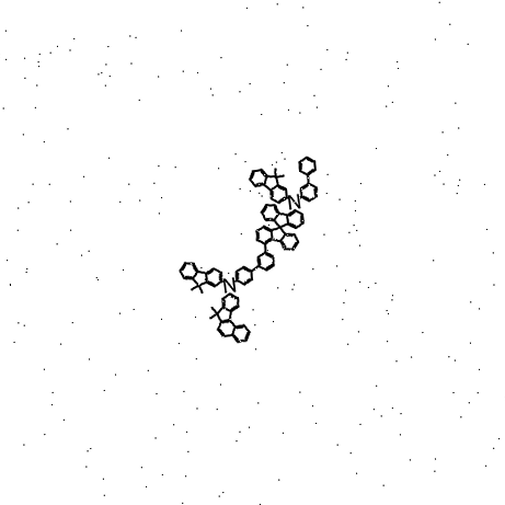 CC1(C)c2ccccc2-c2ccc(N(c3ccc(-c4cccc(-c5cccc6c5-c5ccccc5C65c6ccccc6-c6c(N(c7cccc(-c8ccccc8)c7)c7ccc8c(c7)C(C)(C)c7ccccc7-8)cccc65)c4)cc3)c3ccc4c(c3)C(C)(C)c3ccc5ccccc5c3-4)cc21